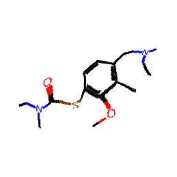 COc1c(SC(=O)N(C)C)ccc(CN(C)C)c1C